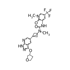 CN(C(=O)Nc1cc(C(F)(F)F)cn(C)c1=O)C12CC(c3cnc4[nH]nc(OC5CCOC5)c4c3)(C1)C2